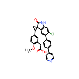 COc1ccc(C2CC23C(=O)Nc2cc(Cl)c(-c4ccc(-c5ccncc5)cc4)cc23)cc1CC(=O)O